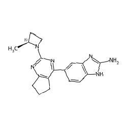 C[C@H]1CCN1c1nc2c(c(-c3ccc4[nH]c(N)nc4c3)n1)CCC2